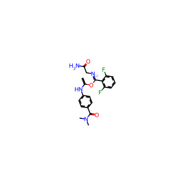 C=C(Nc1ccc(C(=O)N(C)C)cc1)O/C(=N\CC(N)=O)c1c(F)cccc1F